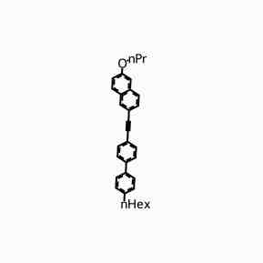 CCCCCCc1ccc(-c2ccc(C#Cc3ccc4cc(OCCC)ccc4c3)cc2)cc1